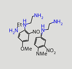 CNc1ccc(NCCN)cc1[N+](=O)[O-].COc1ccc(NCCN)c([N+](=O)[O-])c1.C[CH]N